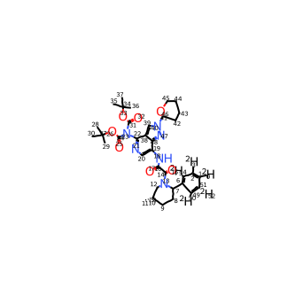 [2H]c1c([2H])c([2H])c(C2CC[C@H](C)CN2C(=O)C(=O)Nc2cnc(N(C(=O)OC(C)(C)C)C(=O)OC(C)(C)C)c3cn(C4CCCCO4)nc23)c([2H])c1[2H]